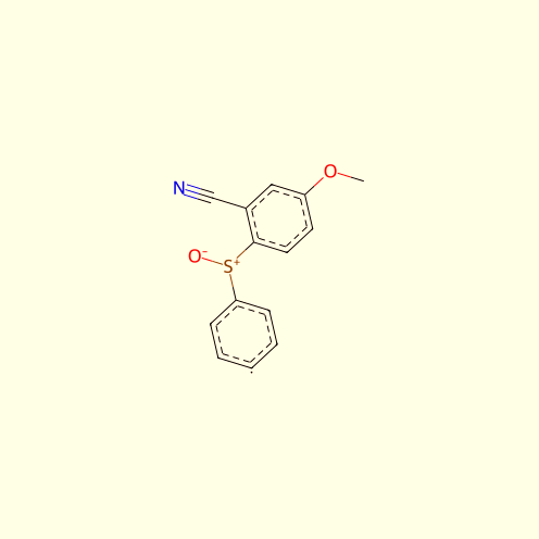 COc1ccc([S+]([O-])c2cc[c]cc2)c(C#N)c1